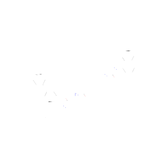 O=C(O)CC(NC(=O)CNC(=O)CCCCNC(=O)Nc1cccc2ccccc12)c1ccc(-c2ccccc2)cc1